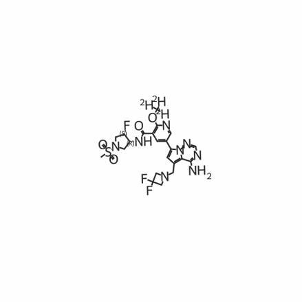 [2H]C([2H])([2H])Oc1ncc(-c2cc(CN3CC(F)(F)C3)c3c(N)ncnn23)cc1C(=O)N[C@@H]1CN(S(C)(=O)=O)C[C@@H]1F